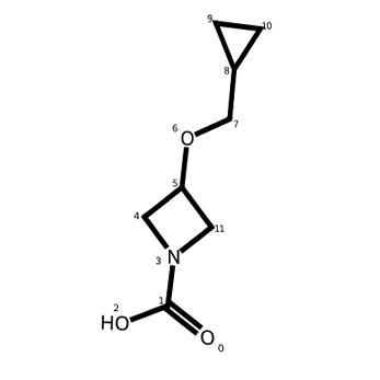 O=C(O)N1CC(OCC2CC2)C1